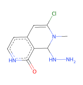 CN1C(Cl)=Cc2cc[nH]c(=O)c2C1NN